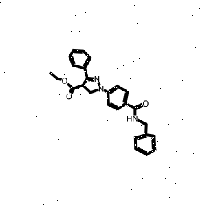 CCOC(=O)C1CN(c2ccc(C(=O)NCc3ccccc3)cc2)N=C1c1ccccc1